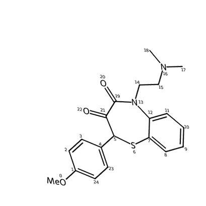 COc1ccc(C2Sc3ccccc3N(CCN(C)C)C(=O)C2=O)cc1